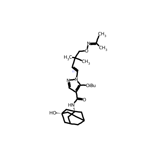 CC(C)=NOCC(C)(C)/C=C/n1ncc(C(=O)N[C@]23CC4CC(C[C@@](O)(C4)C2)C3)c1OCC(C)C